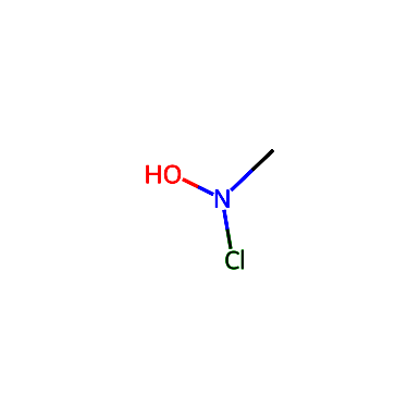 CN(O)Cl